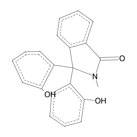 CN1C(=O)c2ccccc2C1(c1ccccc1O)c1ccccc1O